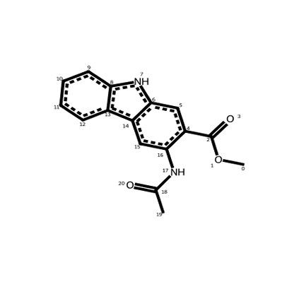 COC(=O)c1cc2[nH]c3ccccc3c2cc1NC(C)=O